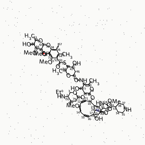 CCN[C@H]1CO[C@@H](O[C@H]2[C@H](O[C@H]3C#CC=CC#C[C@]4(O)CC(=O)C(NC(=O)OC)=C3/C4=C\CSSC3CCNCC3)O[C@H](C)[C@@H](NO[C@H]3C[C@H](O)[C@H](SC(=O)c4c(C)c(I)c(O[C@@H]5O[C@@H](C)[C@H](O)[C@@H](OC)[C@H]5O)c(OC)c4OC)[C@@H](C)O3)[C@@H]2O)C[C@@H]1OC